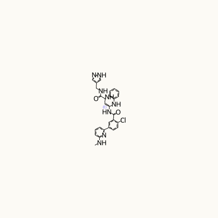 CNc1cccc(-c2ccc(Cl)c(C(=O)N/C(=C/C(=N)C(=O)NCc3cn[nH]c3)Nc3ccccc3)c2)n1